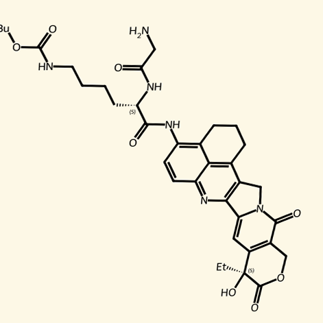 CC[C@@]1(O)C(=O)OCc2c1cc1n(c2=O)Cc2c-1nc1ccc(NC(=O)[C@H](CCCCNC(=O)OC(C)(C)C)NC(=O)CN)c3c1c2CCC3